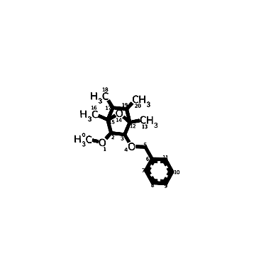 COC1C(OCc2ccccc2)C2(C)OC1(C)C(C)C2C